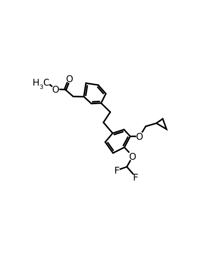 COC(=O)Cc1cccc(CCc2ccc(OC(F)F)c(OCC3CC3)c2)c1